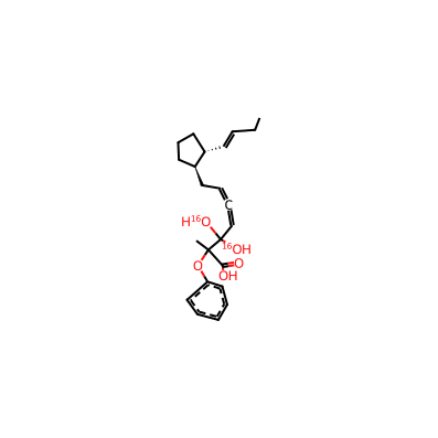 CC/C=C/[C@H]1CCC[C@@H]1CC=C=CC([16OH])([16OH])C(C)(Oc1ccccc1)C(=O)O